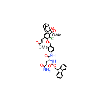 COC(=O)/C=C/c1ccc(C2(OC)OOC23C2CC4CC(C2)CC3C4)c(Cl)c1OCc1ccc(NC(=O)[C@H](CCC(N)=O)NC(=O)OCC2c3ccccc3-c3ccccc32)cc1